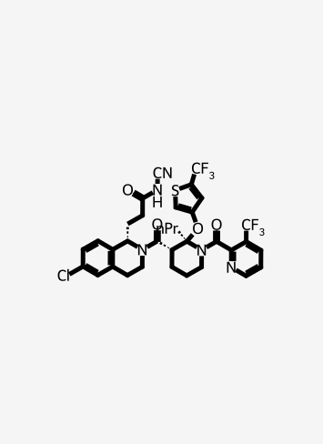 CCC[C@@]1(Oc2csc(C(F)(F)F)c2)[C@@H](C(=O)N2CCc3cc(Cl)ccc3[C@@H]2CCC(=O)NC#N)CCCN1C(=O)c1ncccc1C(F)(F)F